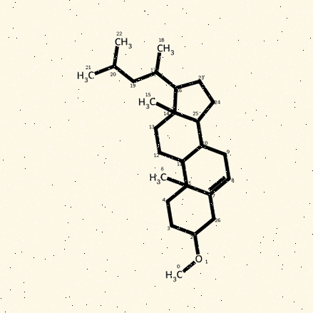 COC1CCC2(C)C(=CCC3C2CCC2(C)C(C(C)CC(C)C)CCC32)C1